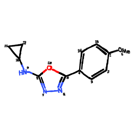 COc1ccc(-c2nnc(NC3CC3)o2)cc1